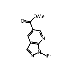 COC(=O)c1cnc2c(cnn2C(C)C)c1